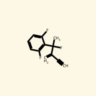 C#CC(=C)C(C)(F)c1c(F)cccc1F